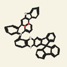 C1=C(c2ccccc2N(c2ccccc2)c2cccc3c2Oc2cc4c(cc2O3)C2(c3ccccc3-c3ccccc32)c2ccccc2-4)CCc2c1oc1ccccc21